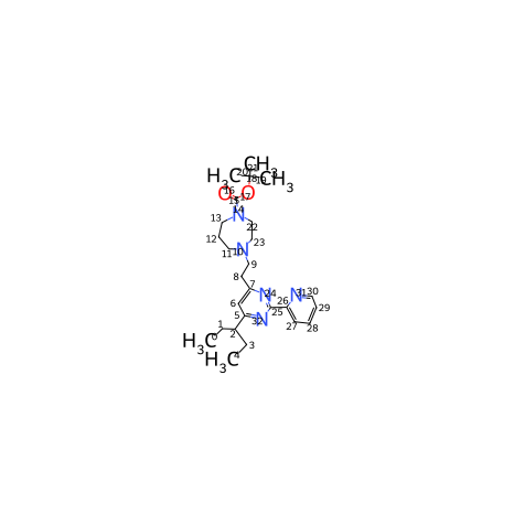 CCC(CC)c1cc(CCN2CCCN(C(=O)OC(C)(C)C)CC2)nc(-c2ccccn2)n1